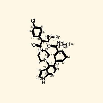 CC(C)NCC(C(=O)N1CCN(c2c(-c3cccc(C(N)=O)c3)cnc3[nH]ccc23)CC1)c1ccc(Cl)cc1.Cl.Cl